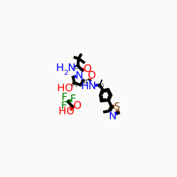 Cc1ncsc1-c1ccc([C@H](C)NC(=O)[C@@H]2C[C@@H](O)CN2C(=O)[C@@H](N)C(C)(C)C)cc1.O=C(O)C(F)(F)F